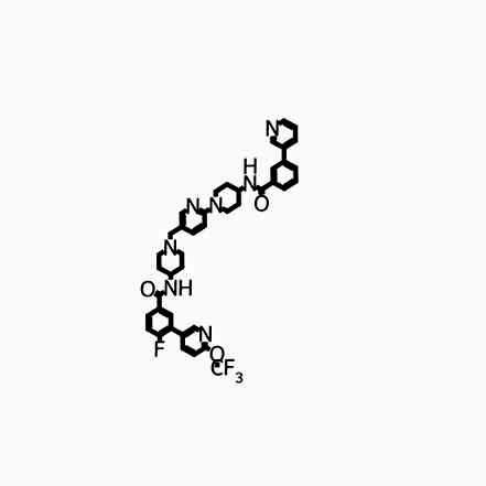 O=C(NC1CCN(Cc2ccc(N3CCC(NC(=O)c4cccc(-c5cccnc5)c4)CC3)nc2)CC1)c1ccc(F)c(-c2ccc(OC(F)(F)F)nc2)c1